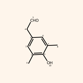 Cc1cc(CC=O)cc(C)c1O